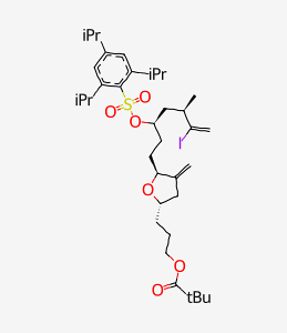 C=C(I)[C@H](C)C[C@@H](CC[C@@H]1O[C@@H](CCCOC(=O)C(C)(C)C)CC1=C)OS(=O)(=O)c1c(C(C)C)cc(C(C)C)cc1C(C)C